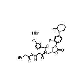 Br.CC(C)CC(=O)SNCC(=O)N(C[C@H]1CN(c2ccc(N3CCOCC3=O)cc2F)C(=O)O1)C(=O)c1ccc(Cl)s1